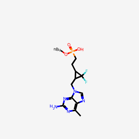 CCCCOP(=O)(O)CCC1C(Cn2cnc3c(C)nc(N)nc32)C1(F)F